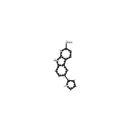 CCCCCc1ccc2c(n1)[nH]c1ccc(-c3ccco3)cc12